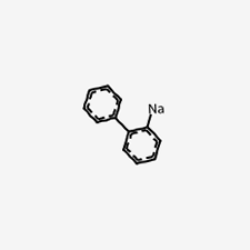 [Na][c]1ccccc1-c1ccccc1